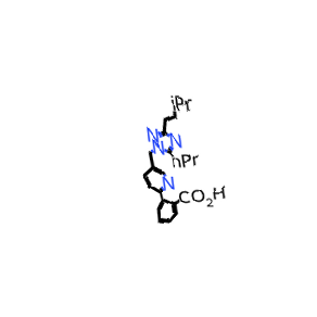 CCCc1nc(CCC(C)C)nn1Cc1ccc(-c2ccccc2C(=O)O)nc1